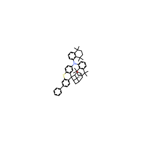 CC1(C)CCC(C)(C)c2c(N(c3ccc4c(c3)C3(c5ccc(-c6ccccc6)cc5S4)C4CC5CC6CC3C64C5)c3cccc4c3C(C)(C)CCC4(C)C)cccc21